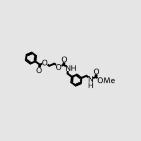 COC(=O)NCc1cccc(CNC(=O)OCCOC(=O)c2ccccc2)c1